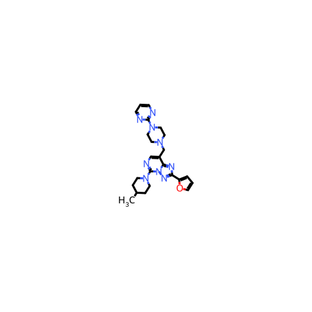 CC1CCN(c2ncc(CN3CCN(c4ncccn4)CC3)c3nc(-c4ccco4)nn23)CC1